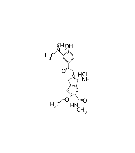 CCOc1cc2c(cc1C(=O)NC)C(=N)N(CC(=O)c1ccc(O)c(N(C)C)c1)C2.Cl